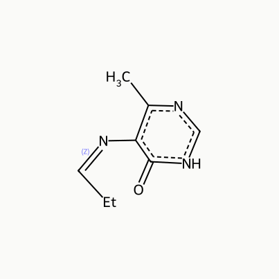 CC/C=N\c1c(C)nc[nH]c1=O